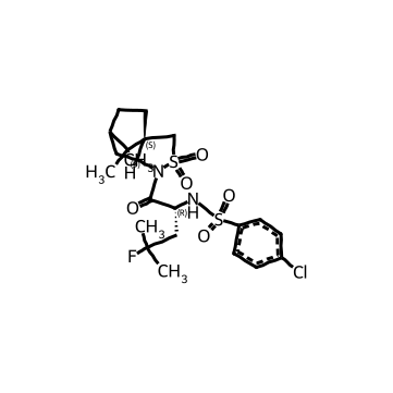 CC(C)(F)C[C@@H](NS(=O)(=O)c1ccc(Cl)cc1)C(=O)N1[C@H]2CC3CC[C@]2(CS1(=O)=O)C3(C)C